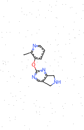 Cc1ncccc1Oc1ncc2c(n1)CNC2